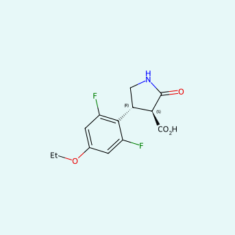 CCOc1cc(F)c([C@@H]2CNC(=O)[C@H]2C(=O)O)c(F)c1